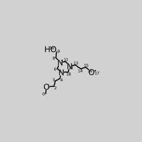 COCCCN1CN(CCO)CN(CCCOC)C1